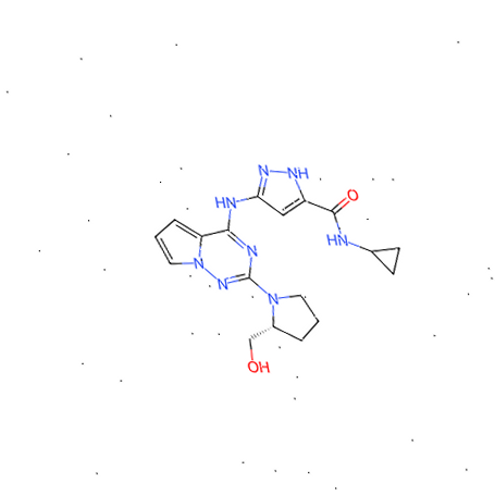 O=C(NC1CC1)c1cc(Nc2nc(N3CCC[C@@H]3CO)nn3cccc23)n[nH]1